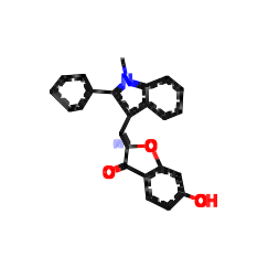 Cn1c(-c2ccccc2)c(/C=C2\Oc3cc(O)ccc3C2=O)c2ccccc21